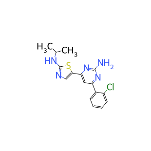 CC(C)Nc1ncc(-c2cc(-c3ccccc3Cl)nc(N)n2)s1